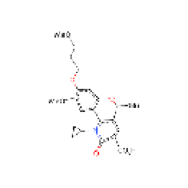 COCCCOc1cc2c(cc1OC)-c1c(cc(C(=O)O)c(=O)n1C1CC1)C(C(C)(C)C)O2